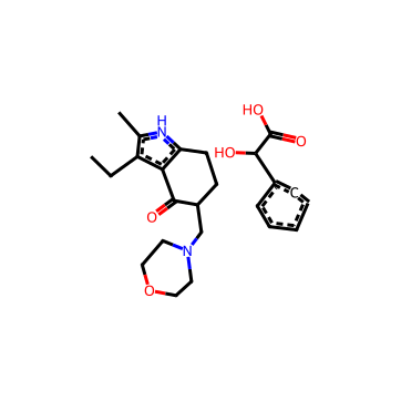 CCc1c(C)[nH]c2c1C(=O)C(CN1CCOCC1)CC2.O=C(O)C(O)c1ccccc1